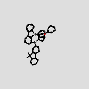 CC1(C)c2ccccc2-c2ccc(N(c3ccc(-c4ccccc4)cc3)c3cccc4c5ccccc5n(-c5ccccc5)c34)cc21